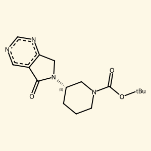 CC(C)(C)OC(=O)N1CCC[C@H](N2Cc3ncncc3C2=O)C1